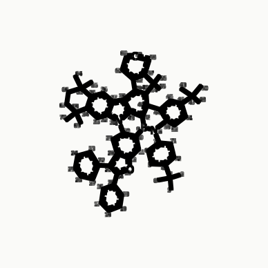 CC(C)(C)c1ccc(N2B3c4cc5oc(-c6ccccc6)c(-c6ccccc6)c5cc4-n4c5cc6c(cc5c5c7c(c(c3c54)-c3cc(C(C)(C)C)ccc32)C(C)(C)c2ccccc2-7)C(C)(C)CCC6(C)C)cc1